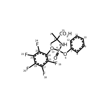 CC(C)(NP(=O)(Oc1ccccc1)Oc1c(F)c(F)c(F)c(F)c1F)C(=O)O